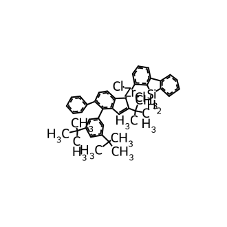 CC(C)(C)C1=Cc2c(ccc(-c3ccccc3)c2-c2cc(C(C)(C)C)cc(C(C)(C)C)c2)[CH]1[Zr]([Cl])([Cl])[c]1cccc2c1[SiH2]c1ccccc1-2